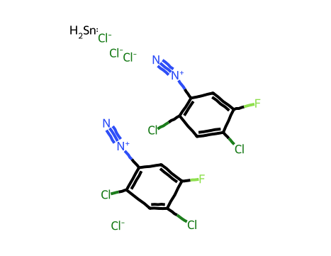 N#[N+]c1cc(F)c(Cl)cc1Cl.N#[N+]c1cc(F)c(Cl)cc1Cl.[Cl-].[Cl-].[Cl-].[Cl-].[SnH2]